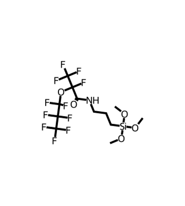 CO[Si](CCCNC(=O)C(F)(OC(F)(F)C(F)(F)C(F)(F)F)C(F)(F)F)(OC)OC